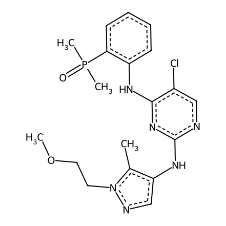 COCCn1ncc(Nc2ncc(Cl)c(Nc3ccccc3P(C)(C)=O)n2)c1C